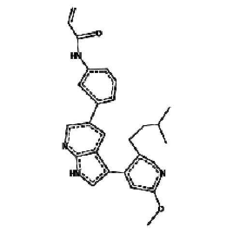 C=CC(=O)Nc1cccc(-c2cnc3[nH]cc(-c4cc(OC)ncc4CCC(C)C)c3c2)c1